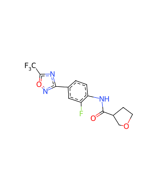 O=C(Nc1ccc(-c2noc(C(F)(F)F)n2)cc1F)C1CCOC1